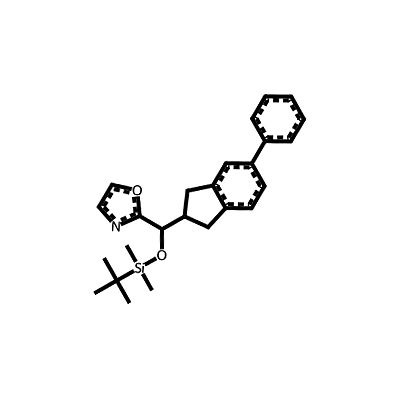 CC(C)(C)[Si](C)(C)OC(c1ncco1)C1Cc2ccc(-c3ccccc3)cc2C1